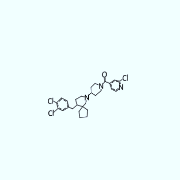 O=C(c1ccnc(Cl)c1)N1CCC(N2CCC(Cc3ccc(Cl)c(Cl)c3)C3(CCCC3)C2)CC1